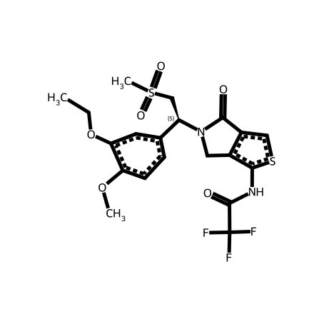 CCOc1cc([C@@H](CS(C)(=O)=O)N2Cc3c(csc3NC(=O)C(F)(F)F)C2=O)ccc1OC